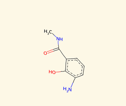 CNC(=O)c1cccc(N)c1O